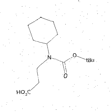 CC(C)(C)OC(=O)N(CCC(=O)O)C1CCCCC1